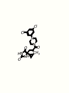 CC(CC1(C2CC2)NC(=O)NC1=O)C(=O)N1CCN(c2cc(Cl)cc(Cl)c2)CC1